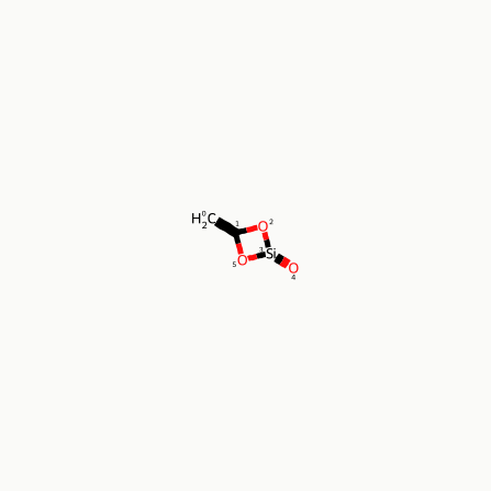 C=C1O[Si](=O)O1